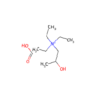 CC[N+](CC)(CC)CC(C)O.O=CO